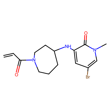 C=CC(=O)N1CCCC(Nc2cc(Br)cn(C)c2=O)CC1